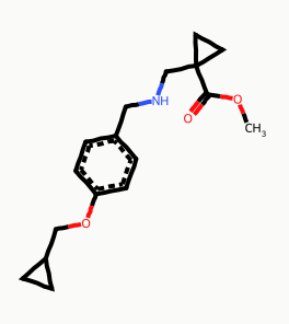 COC(=O)C1(CNCc2ccc(OCC3CC3)cc2)CC1